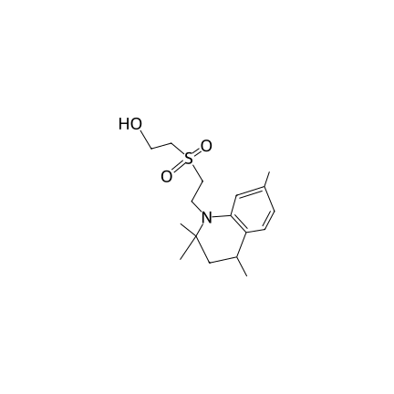 Cc1ccc2c(c1)N(CCS(=O)(=O)CCO)C(C)(C)CC2C